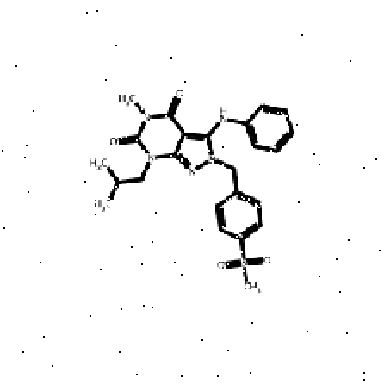 CC(C)Cn1c(=O)n(C)c(=O)c2c(Nc3ccccc3)n(Cc3ccc(S(C)(=O)=O)cc3)nc21